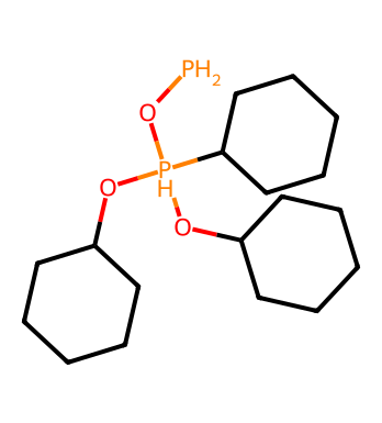 PO[PH](OC1CCCCC1)(OC1CCCCC1)C1CCCCC1